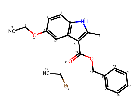 Cc1[nH]c2ccc(OCC#N)cc2c1C(=O)OCc1ccccc1.N#CCBr